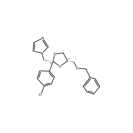 Clc1ccc([C@@]2(Cn3ccnc3)OC[C@H](COCc3ccccc3)O2)cc1